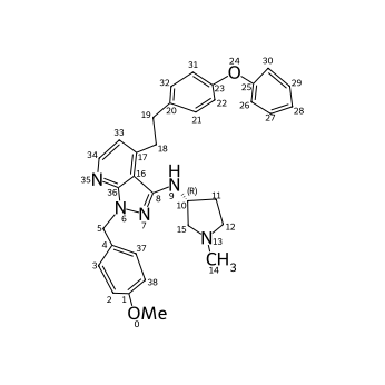 COc1ccc(Cn2nc(N[C@@H]3CCN(C)C3)c3c(CCc4ccc(Oc5ccccc5)cc4)ccnc32)cc1